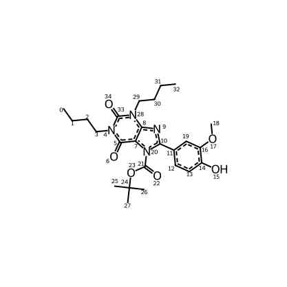 CCCCn1c(=O)c2c(nc(-c3ccc(O)c(OC)c3)n2C(=O)OC(C)(C)C)n(CCCC)c1=O